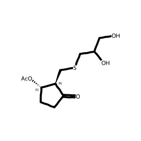 CC(=O)O[C@H]1CCC(=O)[C@@H]1CSCC(O)CO